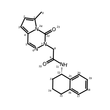 Cc1ccc2cnn(CC(=O)N[C@H]3CCCc4ccccc43)c(=O)n12